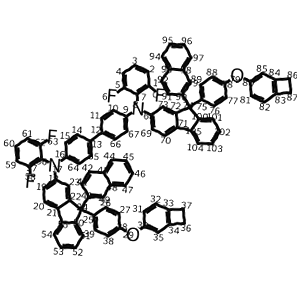 Fc1cccc(F)c1N(c1ccc(-c2ccc(N(c3ccc4c(c3)C(c3ccc(Oc5ccc6c(c5)CC6)cc3)(c3ccc5ccccc5c3)c3ccccc3-4)c3c(F)cccc3F)cc2)cc1)c1ccc2c(c1)C(c1ccc(Oc3ccc4c(c3)CC4)cc1)(c1ccc3ccccc3c1)c1ccccc1-2